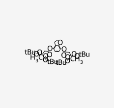 CC(C)(C)OOC(C)(CC(=O)Oc1ccc(OC(=O)CC(C)(OOC(C)(C)C)OOC(C)(C)C)c2c1CCO2)OOC(C)(C)C